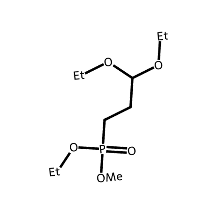 CCOC(CCP(=O)(OC)OCC)OCC